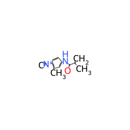 [C-]#[N+]c1ccc(NC(=O)C(=C)C)cc1C